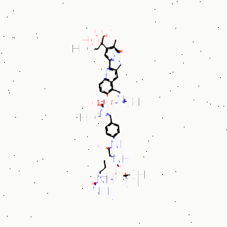 CC[C@@]1(O)C(=O)OCc2c1cc1n(c2=O)Cc2cc3c(CN(C)C)c(OC(=O)N(C)Cc4ccc(NC(=O)[C@H](CCCNC(N)=O)NC(=O)OC(C)(C)C)cc4)ccc3nc2-1